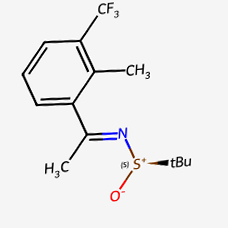 CC(=N[S@+]([O-])C(C)(C)C)c1cccc(C(F)(F)F)c1C